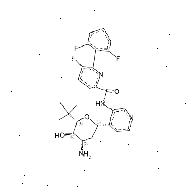 CC(C)(C)[C@@H]1O[C@H](c2ccncc2NC(=O)c2ccc(F)c(-c3c(F)cccc3F)n2)C[C@@H](N)[C@H]1O